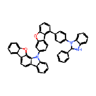 c1ccc(C2Nc3ccccc3N2c2ccc(-c3cccc4oc5cc(-n6c7ccccc7c7ccc8c9ccccc9oc8c76)ccc5c34)cc2)cc1